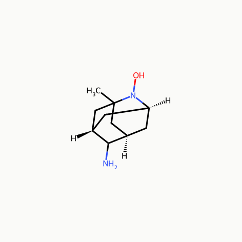 CC12C[C@H]3C[C@@H](C[C@@H](C1)C3N)N2O